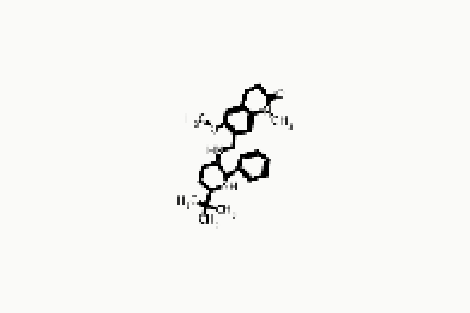 COc1cc2c(cc1CNC1CCC(C(C)(C)C)NC1c1ccccc1)N(C)C(=O)CC2